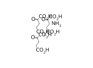 N.O=C(O)CCC(=O)C(=O)O.O=C(O)CCC(=O)C(=O)O.O=C(O)CCC(=O)C(=O)O